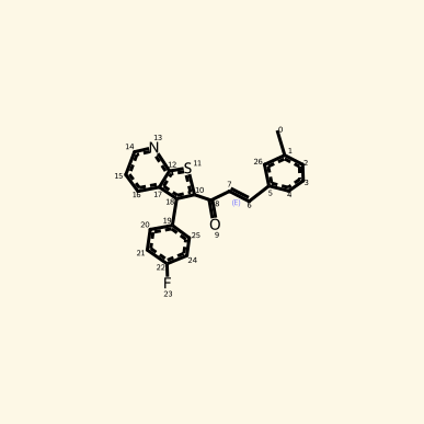 Cc1cccc(/C=C/C(=O)c2sc3ncccc3c2-c2ccc(F)cc2)c1